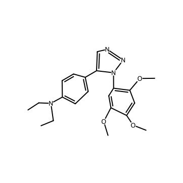 CCN(CC)c1ccc(-c2cnnn2-c2cc(OC)c(OC)cc2OC)cc1